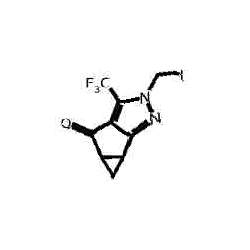 O=C1c2c(nn(CI)c2C(F)(F)F)C2CC12